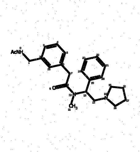 CC(=O)NCc1cccc(CC(=O)N(C)C(CN2CCCC2)c2ccccc2)c1